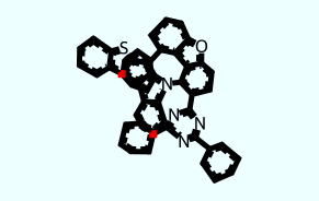 c1ccc(-c2nc(-c3ccccc3)nc(-c3ccc4oc5cccc(-c6cccc7c6sc6ccccc67)c5c4c3-n3c4ccccc4c4ccccc43)n2)cc1